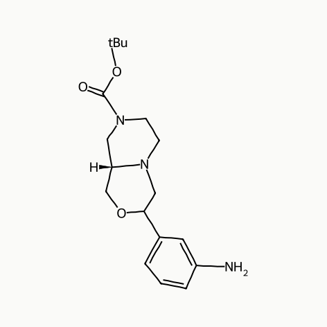 CC(C)(C)OC(=O)N1CCN2CC(c3cccc(N)c3)OC[C@@H]2C1